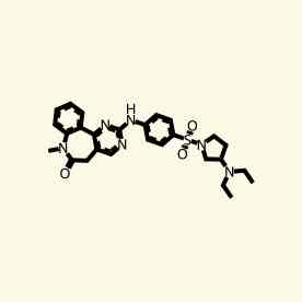 CCN(CC)C1CCN(S(=O)(=O)c2ccc(Nc3ncc4c(n3)-c3ccccc3N(C)C(=O)C4)cc2)C1